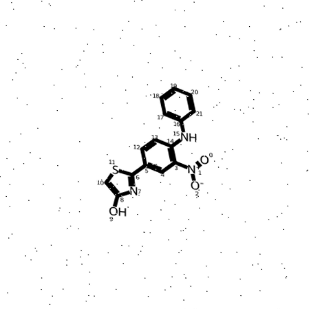 O=[N+]([O-])c1cc(-c2nc(O)cs2)ccc1Nc1ccccc1